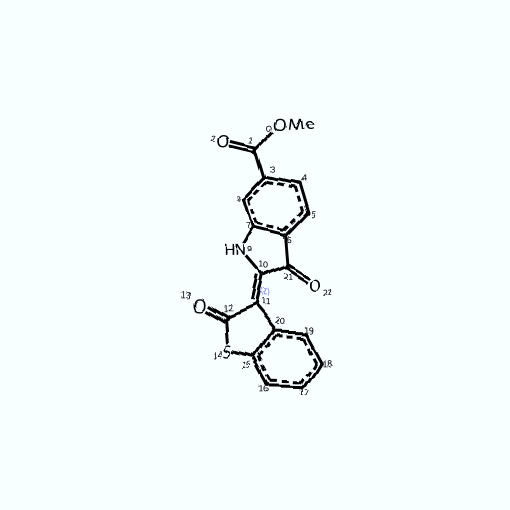 COC(=O)c1ccc2c(c1)N/C(=C1\C(=O)Sc3ccccc31)C2=O